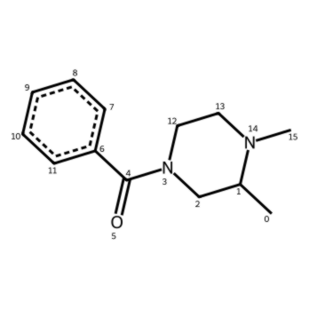 CC1CN(C(=O)c2ccccc2)CCN1C